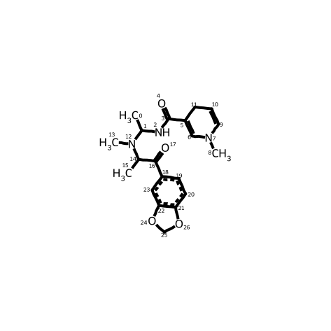 CC(NC(=O)C1=CN(C)C=CC1)N(C)C(C)C(=O)c1ccc2c(c1)OCO2